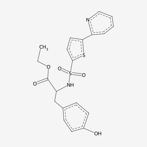 CCOC(=O)C(Cc1ccc(O)cc1)NS(=O)(=O)c1ccc(-c2ccccn2)s1